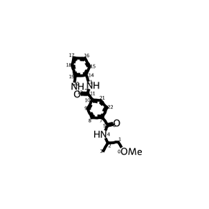 COCC(C)NC(=O)c1ccc(C(=O)Nc2ccccc2N)cc1